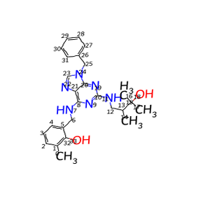 Cc1cccc(CNc2nc(NCC(C)C(C)(C)O)nc3c2ncn3Cc2ccccc2)c1O